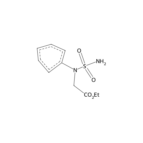 CCOC(=O)CN(c1ccccc1)S(N)(=O)=O